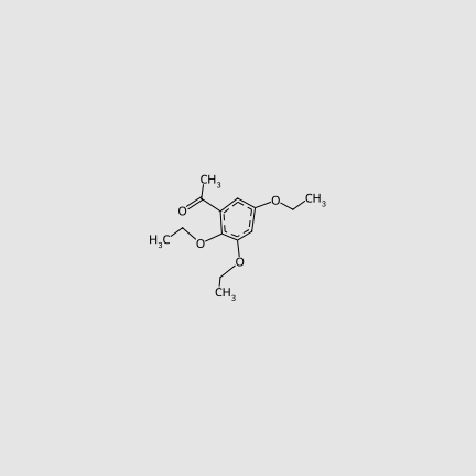 CCOc1cc(OCC)c(OCC)c(C(C)=O)c1